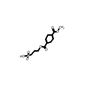 COC(=O)C1CCC(C(=O)OCCCS(=O)(=O)O)CC1